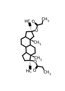 C#C[C@@]1(OC(=O)CC)CC2CCC3C(CC[C@@]4(C)C3CC[C@]4(C#C)OC(=O)CC)[C@@]2(C)C1